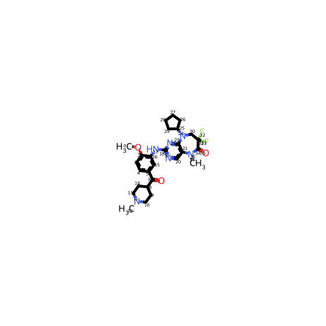 COc1ccc(C(=O)C2CCN(C)CC2)cc1Nc1ncc2c(n1)N(C1CCCC1)CC(F)(F)C(=O)N2C